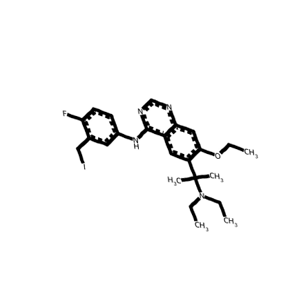 CCOc1cc2ncnc(Nc3ccc(F)c(CI)c3)c2cc1C(C)(C)N(CC)CC